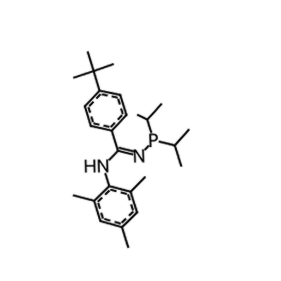 Cc1cc(C)c(NC(=NP(C(C)C)C(C)C)c2ccc(C(C)(C)C)cc2)c(C)c1